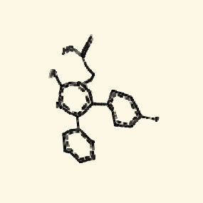 C=C(O)Cn1c(C(C)C)nc(-c2cccnc2)c1-c1ccc(F)cc1